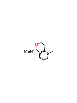 CN[C@@H]1OCCc2c(C)cccc21